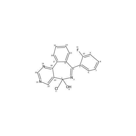 OC1(Cl)N=C(c2ccccc2F)c2ccccc2-c2ncncc21